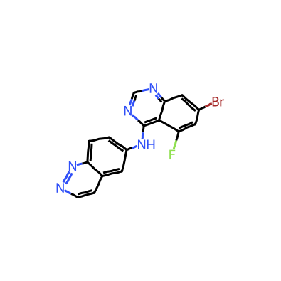 Fc1cc(Br)cc2ncnc(Nc3ccc4nnccc4c3)c12